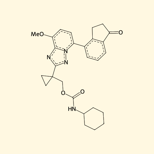 COc1ccc(-c2cccc3c2CCC3=O)n2nc(C3(COC(=O)NC4CCCCC4)CC3)nc12